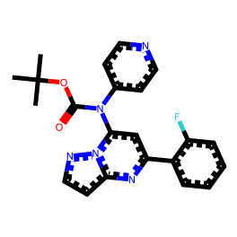 CC(C)(C)OC(=O)N(c1ccncc1)c1cc(-c2ccccc2F)nc2ccnn12